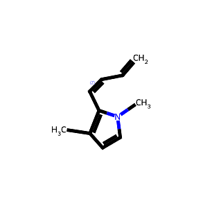 C=C/C=C\c1c(C)ccn1C